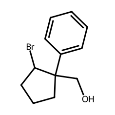 OCC1(c2ccccc2)CCCC1Br